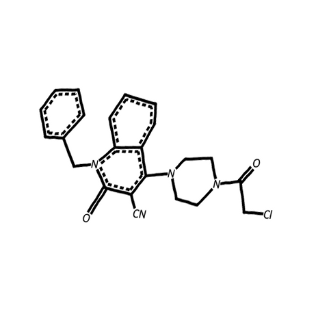 N#Cc1c(N2CCN(C(=O)CCl)CC2)c2ccccc2n(Cc2ccccc2)c1=O